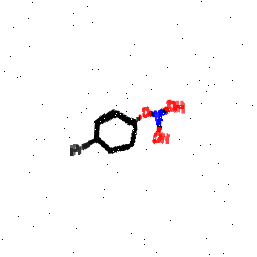 CC(C)[C@H]1CC[C@H](ON(O)O)CC1